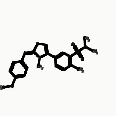 COc1ccc(N=c2scc(-c3ccc(C)c(S(=O)(=O)N(C)C)c3)n2C)cc1